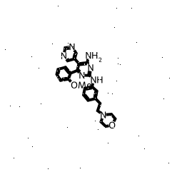 COc1ccccc1-c1nc(Nc2cccc(CCN3CCOCC3)c2)nc(N)c1-c1cncnc1